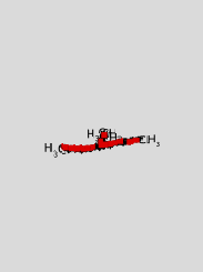 CCCCCCCCCCCCCCC[PH-](CCCCCCCCCCCCCCC)OCC[N+](C)(C)C